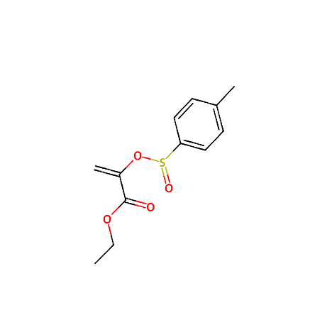 C=C(OS(=O)c1ccc(C)cc1)C(=O)OCC